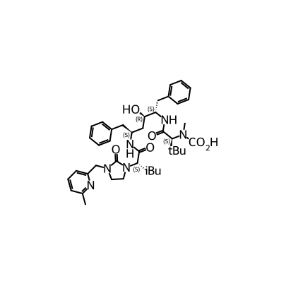 CCC(C)[C@@H](C(=O)N[C@@H](Cc1ccccc1)C[C@@H](O)[C@H](Cc1ccccc1)NC(=O)[C@@H](N(C)C(=O)O)C(C)(C)C)N1CCN(Cc2cccc(C)n2)C1=O